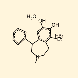 Br.CCc1c(O)c(O)cc2c1CCN(C)CC2c1ccccc1.O